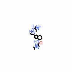 Cc1n[nH]cc1Nc1nccc(-c2ccc3c(c2)CCCC[C@H]3NC(=O)c2cnn(C(C)C)n2)n1